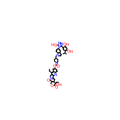 CCc1c2c(nc3ccc(OC(=O)N4CCC(Cn5ccc6cc(-n7c(O)nnc7-c7cc(C(C)C)c(O)cc7O)ccc65)CC4)cc13)-c1cc3c(c(=O)n1C2)COC(=O)[C@]3(O)CC